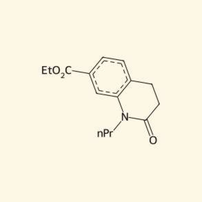 CCCN1C(=O)CCc2ccc(C(=O)OCC)cc21